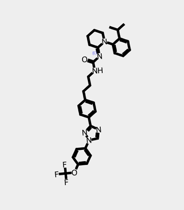 CC(C)c1ccccc1N1CCCC/C1=N\C(=O)NCCCc1ccc(-c2ncn(-c3ccc(OC(F)(F)F)cc3)n2)cc1